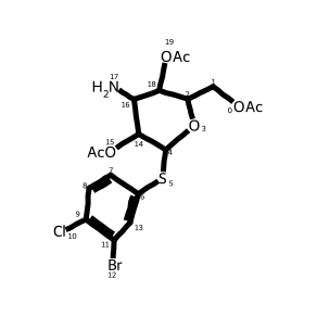 CC(=O)OCC1OC(Sc2ccc(Cl)c(Br)c2)C(OC(C)=O)C(N)C1OC(C)=O